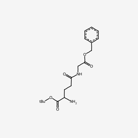 CC(C)(C)OC(=O)C(N)CCC(=O)NCC(=O)OCc1ccccc1